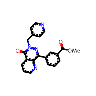 COC(=O)c1cccc(-c2nn(Cc3ccncc3)c(=O)c3cccnc23)c1